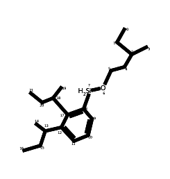 CCC(C)CCO[SiH2]c1cccc(C(C)CC)c1C(C)CC